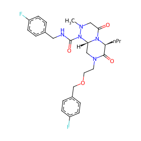 CCC[C@H]1C(=O)N(CCOCc2ccc(F)cc2)C[C@H]2N1C(=O)CN(C)N2C(=O)NCc1ccc(F)cc1